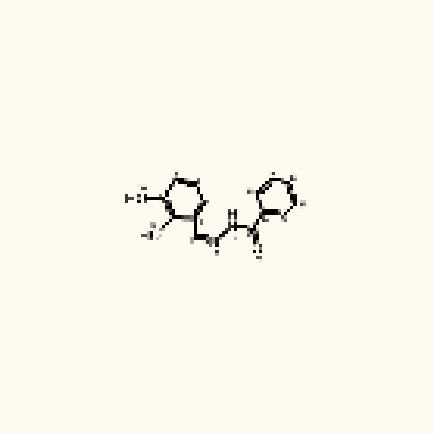 O=C(N/N=C\c1cccc(O)c1O)c1ccccc1